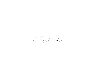 C[C@H]1CC[C@H](C(=O)N(c2nn(-c3ccc(-c4ccc5occc5c4)cc3)cc2C(=O)O)C2CCOCC2)CC1